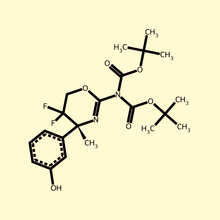 CC(C)(C)OC(=O)N(C(=O)OC(C)(C)C)C1=N[C@](C)(c2cccc(O)c2)C(F)(F)CO1